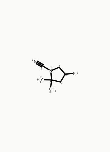 CC1(C)CC(F)CN1C#N